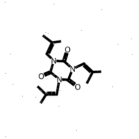 CC(C)=Cn1c(=O)n(C=C(C)C)c(=O)n(C=C(C)C)c1=O